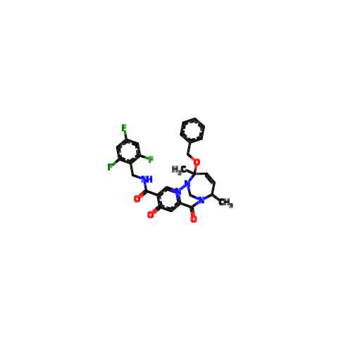 CC1C=CC(C)(OCc2ccccc2)N2CN1C(=O)c1cc(=O)c(C(=O)NCc3c(F)cc(F)cc3F)cn12